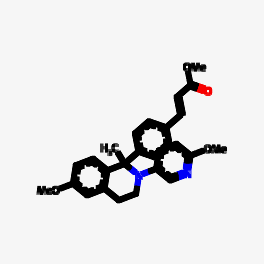 COC(=O)/C=C/c1ccc(C2(C)c3ccc(OC)cc3CCN2c2ccc(OC)nc2)cc1